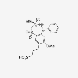 CCCC[C@]1(CC)CS(=O)(=O)c2cc(CCCS(=O)(=O)O)c(OC)cc2[C@@H](c2ccccc2)N1